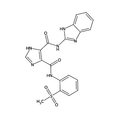 CS(=O)(=O)c1ccccc1NC(=O)c1nc[nH]c1C(=O)Nc1nc2ccccc2[nH]1